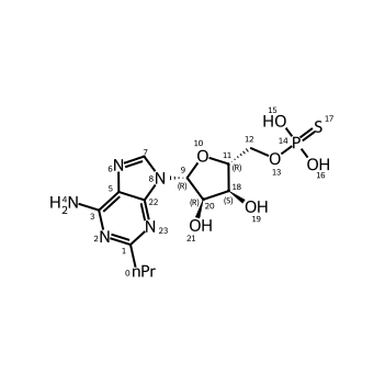 CCCc1nc(N)c2ncn([C@@H]3O[C@H](COP(O)(O)=S)[C@@H](O)[C@H]3O)c2n1